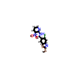 CSc1nc2cc(F)c(CNc3ncccc3[N+](=O)[O-])cc2s1